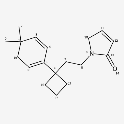 CC1(C)C=CC(C2(CCN3CC=CC3=O)CCC2)=CC1